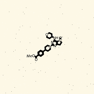 COC(=O)c1ccc(C2CCN(c3nc4c(c(NC5CCOCC5)n3)[S+]([O-])CC4)CC2)cc1